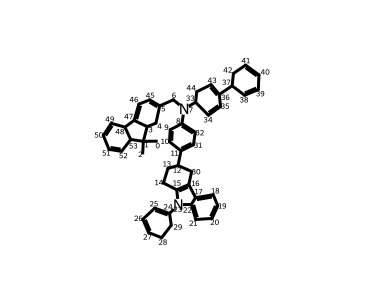 CC1(C)C2CC(CN(c3ccc(C4CCc5c(c6ccccc6n5C5=CC=CCC5)C4)cc3)C3C=CC(C4C=CC=CC4)=CC3)=CC=C2C2C=CC=CC21